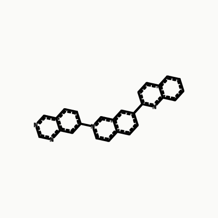 c1ccc2nc(-c3ccc4cc[n+](-c5ccc6cncnc6c5)cc4c3)ccc2c1